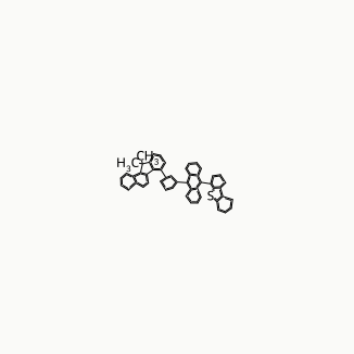 CC1(C)c2cccc(-c3cccc(-c4c5ccccc5c(-c5cccc6c5sc5ccccc56)c5ccccc45)c3)c2-c2ccc3ccccc3c21